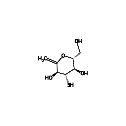 C=C1O[C@H](CO)[C@@H](O)[C@H](S)[C@H]1O